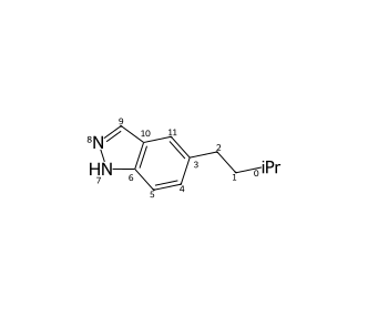 CC(C)CCc1ccc2[nH]ncc2c1